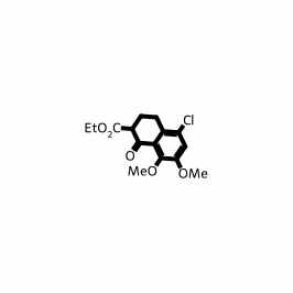 CCOC(=O)C1CCc2c(Cl)cc(OC)c(OC)c2C1=O